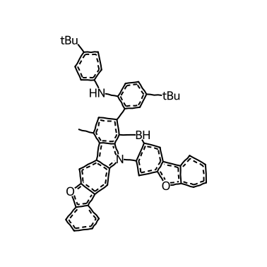 Cc1cc(-c2cc(C(C)(C)C)ccc2Nc2ccc(C(C)(C)C)cc2)c2c3c1c1cc4oc5ccccc5c4cc1n3-c1cc3oc4ccccc4c3cc1B2